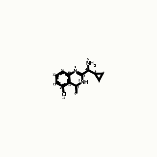 CC1NC(C(N)C2CC2)=Nc2cccc(Cl)c21